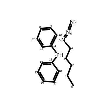 CCCCCN=[N+]=[N-].c1ccc(Pc2ccccc2)cc1